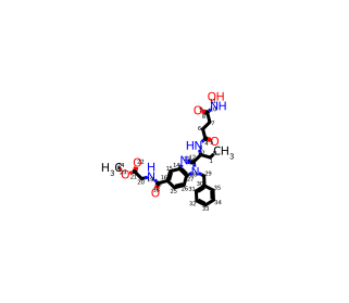 CCC(NC(=O)CCC(=O)NO)c1nc2cc(C(=O)NCC(=O)OC)ccc2n1Cc1ccccc1